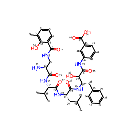 Cc1cccc(C(=O)NC[C@H](N)C(=O)N[C@H](C(=O)N[C@@H](CC(C)C)C(=O)N[C@@H](Cc2ccccc2)[C@@H](O)C(=O)Nc2cccc(C(=O)O)c2)C(C)C)c1O